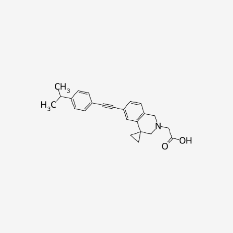 CC(C)c1ccc(C#Cc2ccc3c(c2)C2(CC2)CN(CC(=O)O)C3)cc1